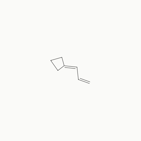 C=CC=C1CCC1